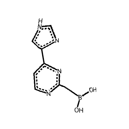 OB(O)c1nccc(-c2c[nH]cn2)n1